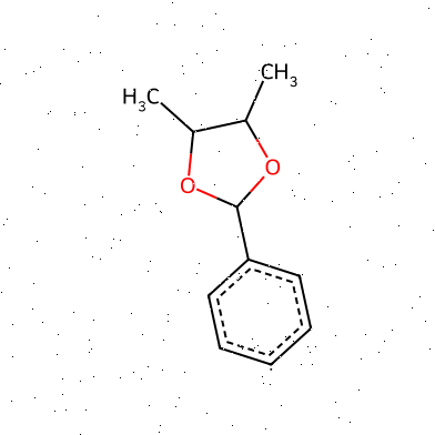 CC1OC(c2cc[c]cc2)OC1C